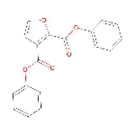 O=C(Oc1ccccc1)c1ccoc1C(=O)Oc1ccccc1